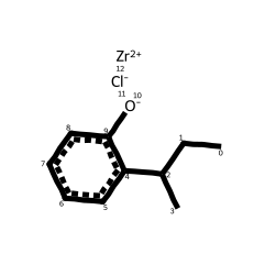 CCC(C)c1ccccc1[O-].[Cl-].[Zr+2]